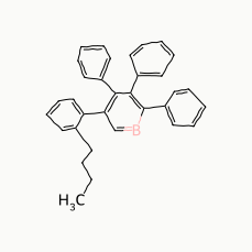 CCCCc1ccccc1-c1cbc(-c2ccccc2)c(-c2ccccc2)c1-c1ccccc1